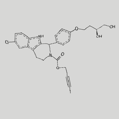 CC#CCOC(=O)N1CCc2c([nH]c3ccc(Cl)cc23)C1c1ccc(OCC[C@H](O)CO)cc1